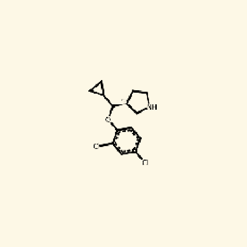 Clc1ccc(OC(C2CC2)[C@H]2CCNC2)c(Cl)c1